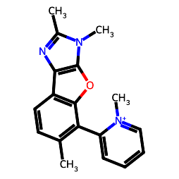 Cc1ccc2c(oc3c2nc(C)n3C)c1-c1cccc[n+]1C